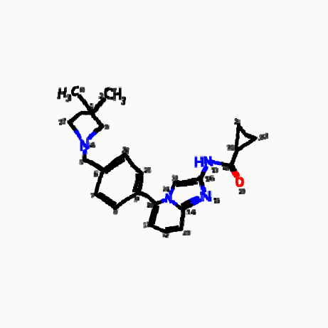 CC1(C)CN(Cc2ccc(-c3cccc4nc(NC(=O)C5CC5)cn34)cc2)C1